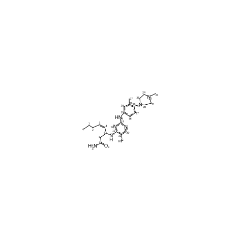 CCC/C=C\C(CC(N)=O)Nc1nc(Nc2ccc(N3CCN(C)CC3)c(C)c2)ncc1F